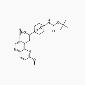 COc1ccc2ncc(C#N)c(CC(O)C34CCC(NC(=O)OC(C)(C)C)(CC3)CO4)c2n1